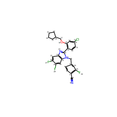 N#Cc1ccc(Cn2c(-c3ccc(Cl)cc3OCC3CCCC3)nc3cc(F)c(F)cc32)cc1F